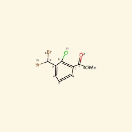 COC(=O)c1cccc(C(Br)Br)c1Cl